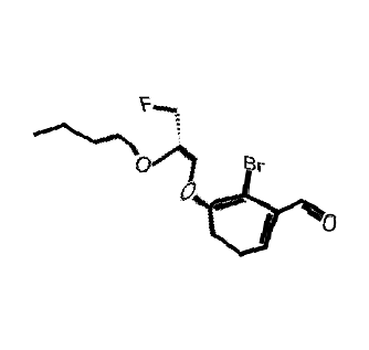 CCCCO[C@H](CF)COC1=C(Br)C(C=O)=CCC1